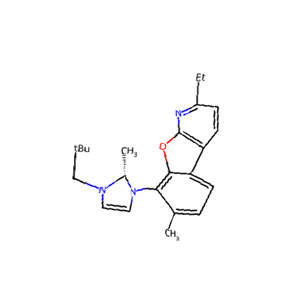 CCc1ccc2c(n1)oc1c(N3C=CN(CC(C)(C)C)[C@@H]3C)c(C)ccc12